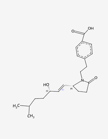 CC(C)CC[C@H](O)/C=C/[C@H]1CCC(=O)N1CCc1ccc(C(=O)O)cc1